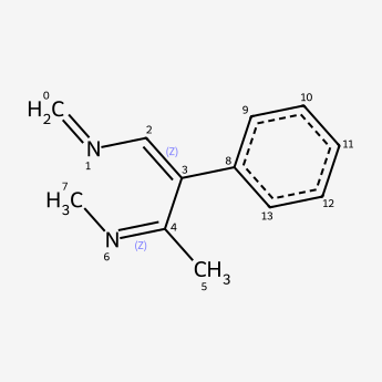 C=N/C=C(\C(C)=N/C)c1ccccc1